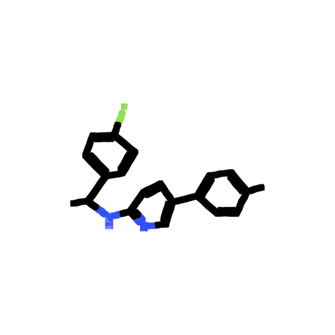 Cc1ccc(-c2ccc(NC(C)c3ccc(F)cc3)nc2)cc1